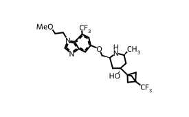 COCCn1cnc2cc(OC[C@@H]3C[C@](O)(C45CC(C(F)(F)F)(C4)C5)C[C@H](C)N3)cc(C(F)(F)F)c21